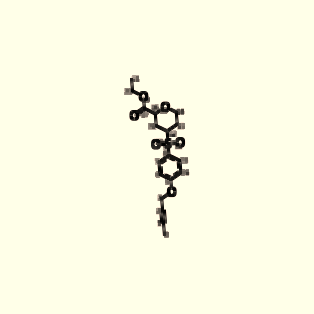 CC#CCOc1ccc(S(=O)(=O)C2CCOC(C(=O)OCC)C2)cc1